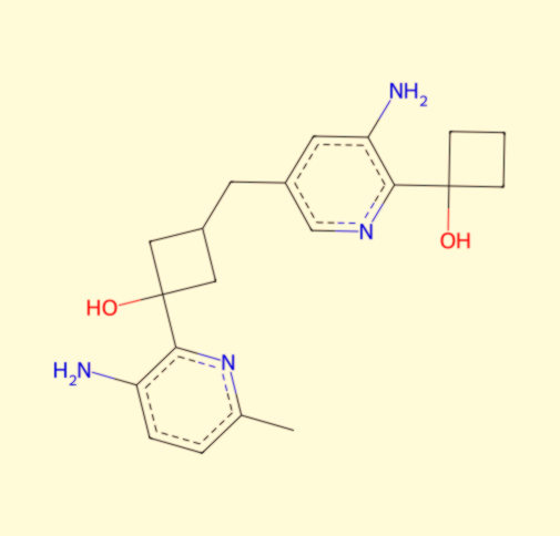 Cc1ccc(N)c(C2(O)CC(Cc3cnc(C4(O)CCC4)c(N)c3)C2)n1